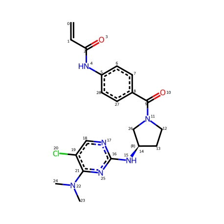 C=CC(=O)Nc1ccc(C(=O)N2CC[C@@H](Nc3ncc(Cl)c(N(C)C)n3)C2)cc1